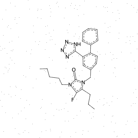 CCCCCn1c(F)c(CCC)n(Cc2ccc(-c3ccccc3)c(-c3nnn[nH]3)c2)c1=O